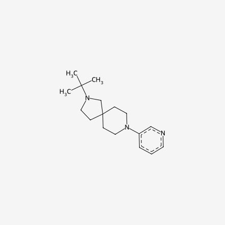 CC(C)(C)N1CCC2(CCN(c3cccnc3)CC2)C1